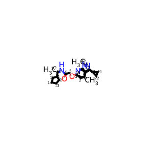 Cc1cc(OCC(=O)NC(C)C2CCCC2)nc2c1c(C1CC1)nn2C